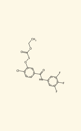 CCOC(=O)SOc1cc(C(=O)Nc2cc(F)c(F)c(F)c2)ccc1Cl